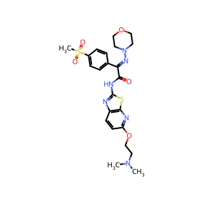 CN(C)CCOc1ccc2nc(NC(=O)/C(=N/N3CCOCC3)c3ccc(S(C)(=O)=O)cc3)sc2n1